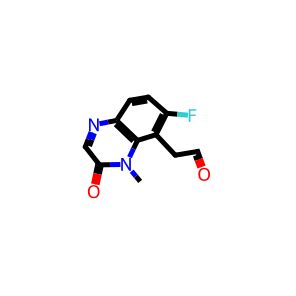 Cn1c(=O)cnc2ccc(F)c(CC=O)c21